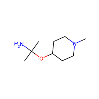 CN1CCC(OC(C)(C)N)CC1